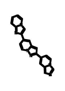 c1ccn2cc(-c3ccn4nc(-c5ccn6cncc6c5)cc4c3)nc2c1